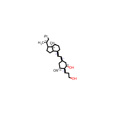 CC(C)C[C@H](C)C1CCC2/C(=C/C=C3/C[C@@H](O)/C(=C\CCO)[C@H](N=O)C3)CCC[C@@]21C